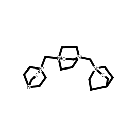 C1C[N+]2(C[N+]34CC[N+](C[N+]56CCN(CC5)CC6)(CC3)CC4)CCC1CC2